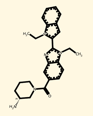 CCn1c(-c2nc3cc(C(=O)N4CCC[C@@H](N)C4)ccc3n2CC)cc2ccccc21